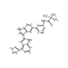 CC(C)(C)C(=O)Nc1cncc(-c2ccc3[nH]nc(-c4cc5c(-c6ccsc6)cncc5[nH]4)c3c2)c1